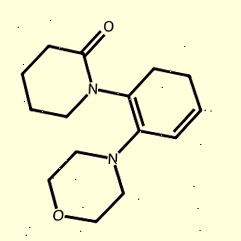 O=C1CCCCN1C1=C(N2CCOCC2)C=[C]CC1